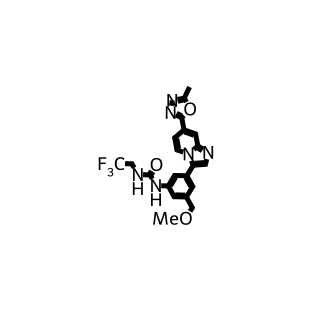 COCc1cc(NC(=O)NCC(F)(F)F)cc(-c2cnc3cc(-c4nnc(C)o4)ccn23)c1